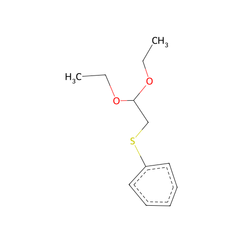 CCOC(CSc1ccccc1)OCC